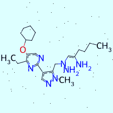 CCCC/C(N)=C/N(N)Cc1c(-c2ncc(OC3CCCCC3)c(CC)n2)cnn1C